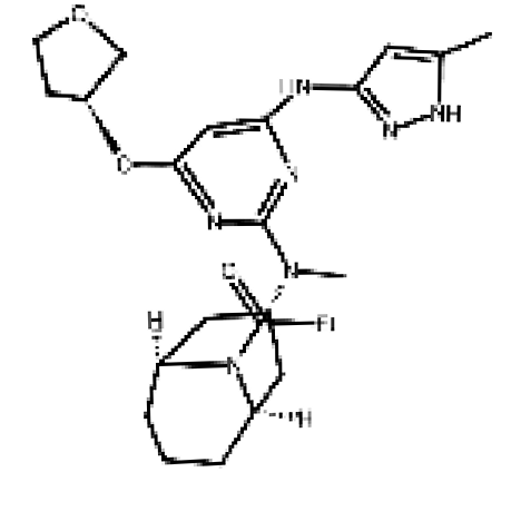 CCC(=O)N1[C@@H]2CCC[C@H]1C[C@H](N(C)c1nc(Nc3cc(C)[nH]n3)cc(O[C@H]3CCOC3)n1)C2